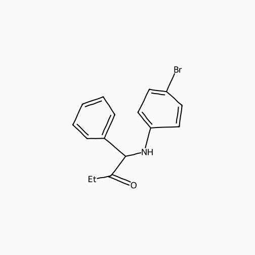 CCC(=O)C(Nc1ccc(Br)cc1)c1ccccc1